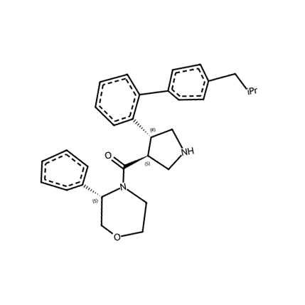 CC(C)Cc1ccc(-c2ccccc2[C@@H]2CNC[C@H]2C(=O)N2CCOC[C@@H]2c2ccccc2)cc1